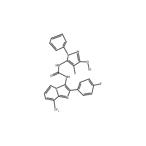 CCOc1nn(-c2ccccc2)c(NC(=O)Nc2c(-c3ccc(F)cc3)nc3c(C(F)(F)F)cccn23)c1C